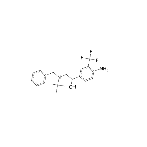 CC(C)(C)N(Cc1ccccc1)CC(O)c1ccc(N)c(C(F)(F)F)c1